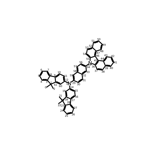 CC1(C)c2ccccc2-c2ccc(N(c3ccc4c(c3)C(C)(C)c3ccccc3-4)c3ccc4cc(-n5c6ccc7ccccc7c6c6c7ccccc7ccc65)ccc4c3)cc21